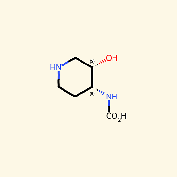 O=C(O)N[C@@H]1CCNC[C@@H]1O